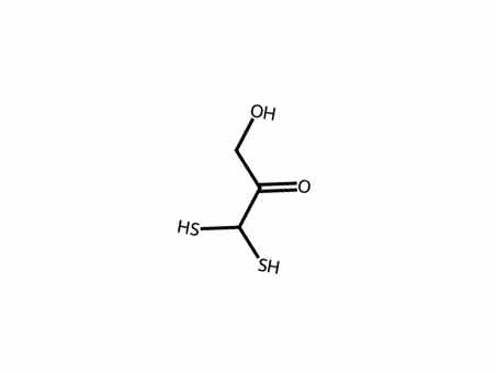 O=C(CO)C(S)S